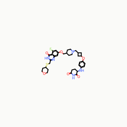 O=C1CCC(Nc2ccc(OC3CC(CN4CCC(COc5cc(F)c6c(=O)[nH]c(CSC7CCOCC7)nc6c5)CC4)C3)cc2)C(=O)N1